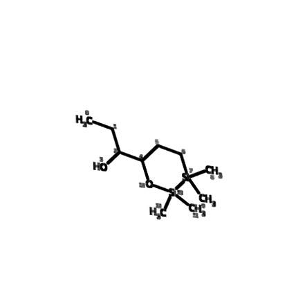 CCC(O)C1CC[Si](C)(C)[Si](C)(C)O1